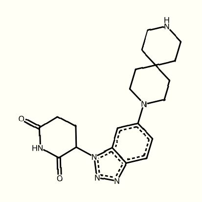 O=C1CCC(n2nnc3ccc(N4CCC5(CCNCC5)CC4)cc32)C(=O)N1